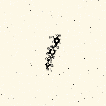 NC1CN(C(=O)NS(=O)(=O)N2CCN(NC(=O)c3ccc(O)c(O)c3)C(=O)C2=O)C1=O